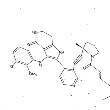 COc1c(Cl)cccc1Nc1c(-c2ccncc2C#C[C@]2(C)CCCN2C(=O)/C=C/CN(C)C)[nH]c2c1C(=O)NCC2